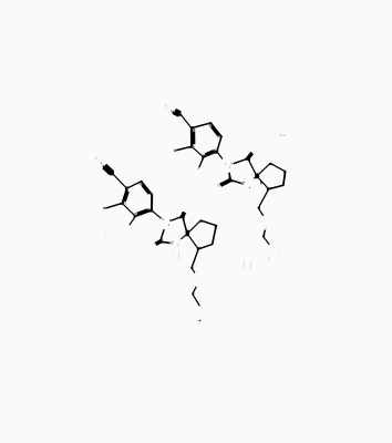 COCOCC1CCCC12NC(=O)N(c1ccc(C#N)c(Cl)c1C)C2=O.COCOCC1CCCC12NC(=O)N(c1ccc(C#N)c(Cl)c1C)C2=O.[Cu+].[Cu+].[O-2]